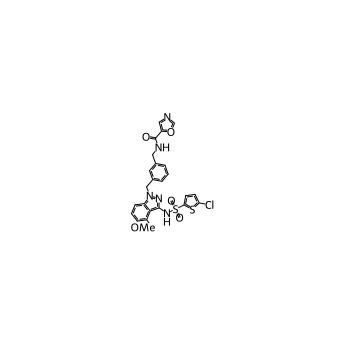 COc1cccc2c1c(NS(=O)(=O)c1ccc(Cl)s1)nn2Cc1cccc(CNC(=O)c2cnco2)c1